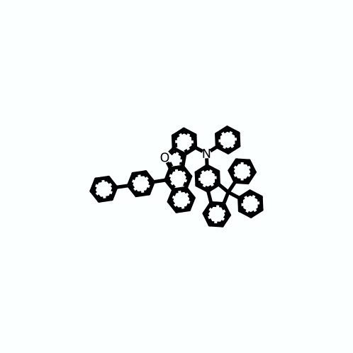 c1ccc(-c2ccc(-c3c4ccccc4cc4c3oc3cccc(N(c5ccccc5)c5ccc6c(c5)C(c5ccccc5)(c5ccccc5)c5ccccc5-6)c34)cc2)cc1